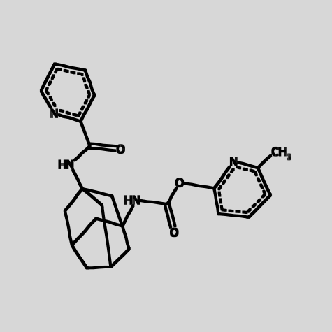 Cc1cccc(OC(=O)NC23CC4CC(C2)CC(NC(=O)c2ccccn2)(C4)C3)n1